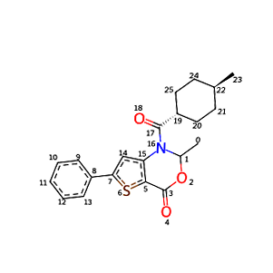 CC1OC(=O)c2sc(-c3ccccc3)cc2N1C(=O)[C@H]1CC[C@H](C)CC1